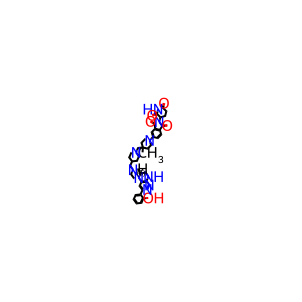 CC1(CN2CCC(CN3CCN4c5cc(-c6ccccc6O)nnc5NC[C@H]4C3)CC2)CCN(c2ccc3c(c2)C(=O)N(C2CCC(=O)NC2=O)C3=O)CC1